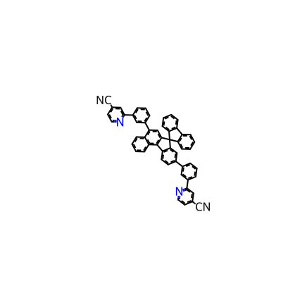 N#Cc1ccnc(-c2cccc(-c3ccc4c(c3)C3(c5ccccc5-c5ccccc53)c3cc(-c5cccc(-c6cc(C#N)ccn6)c5)c5ccccc5c3-4)c2)c1